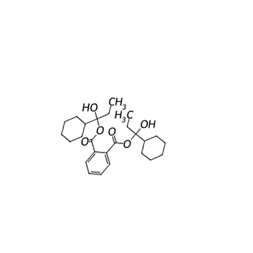 CCC(O)(OC(=O)c1ccccc1C(=O)OC(O)(CC)C1CCCCC1)C1CCCCC1